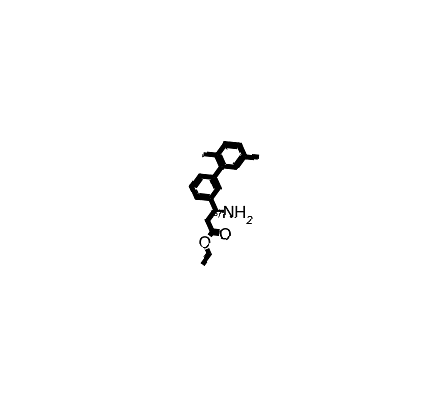 CCOC(=O)C[C@H](N)c1cccc(-c2cc(C)ccc2C)c1